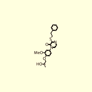 COc1cc(-n2ccnc(SCCc3ccccc3)c2=O)ccc1OC[C@@H](C)O